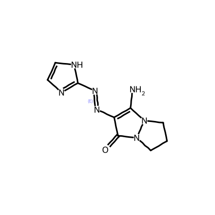 Nc1c(/N=N/c2ncc[nH]2)c(=O)n2n1CCC2